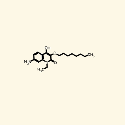 CCCCCCCCOc1c(O)c2ccc(N)cc2n(CC)c1=O